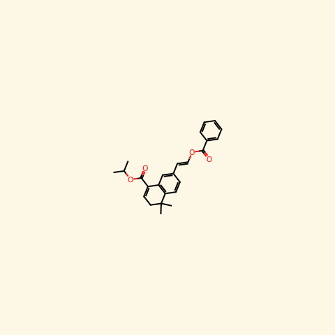 CC(C)OC(=O)C1=CCC(C)(C)c2ccc(C=COC(=O)c3ccccc3)cc21